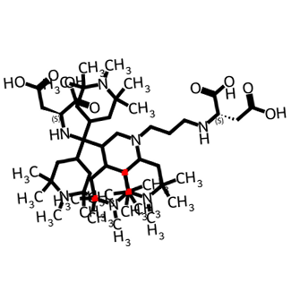 CN1C(C)(C)CC(C(CN(CCCN[C@@H](CC(=O)O)C(=O)O)C2CC(C)(C)N(C)C(C)(C)C2)C(N[C@@H](CC(=O)O)C(=O)O)(C2CC(C)(C)N(C)C(C)(C)C2)C2CC(C)(C)N(C)C(C)(C)C2)CC1(C)C